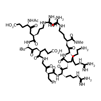 CC[C@H](C)[C@H](NC(=O)[C@H](CCCNC(=N)N)CC(=O)[C@H](CCC(=O)O)NC(C)=O)C(=O)C[C@@H](CCC(=O)O)C(=O)NCC(=O)C[C@@H](CC(C)C)C(=O)N[C@@H](CCCNC(=N)N)C(=O)C[C@@H](CCCCN)C(=O)N[C@@H](CCCNC(=N)N)C(=O)C[C@@H](CCCNC(=N)N)C(=O)NC